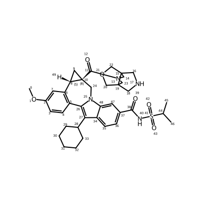 COc1ccc2c(c1)[C@@H]1C[C@]1(C(=O)N1CC34CNCC3(COC4)C1)Cn1c-2c(C2CCCCC2)c2ccc(C(=O)NS(=O)(=O)C(C)C)cc21